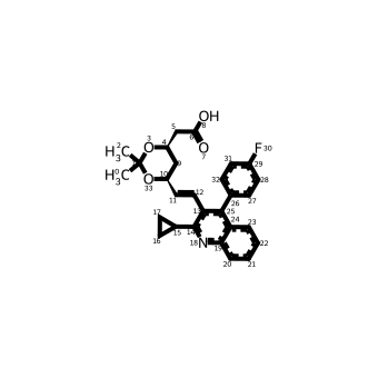 CC1(C)O[C@@H](CC(=O)O)C[C@@H](/C=C/c2c(C3CC3)nc3ccccc3c2-c2ccc(F)cc2)O1